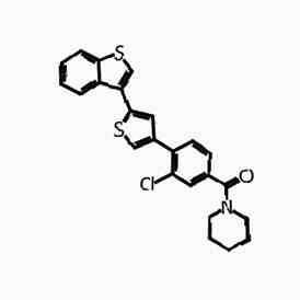 O=C(c1ccc(-c2csc(-c3csc4ccccc34)c2)c(Cl)c1)N1CCCCC1